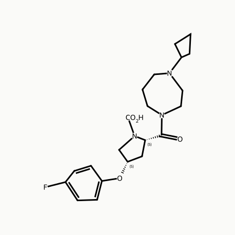 O=C([C@@H]1C[C@H](Oc2ccc(F)cc2)CN1C(=O)O)N1CCCN(C2CCC2)CC1